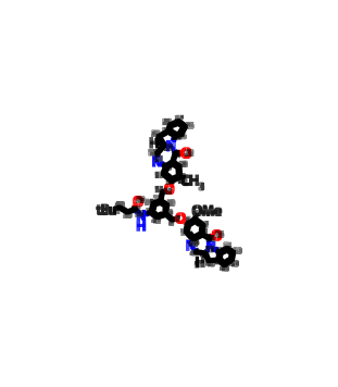 COc1cc2c(cc1OCc1cc(COc3cc4c(cc3C)C(=O)N3c5ccccc5C[C@H]3C=N4)cc(NC(=O)CCC(C)(C)C)c1)N=C[C@@H]1Cc3ccccc3N1C2=O